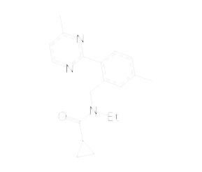 CCN(Cc1cc(C)ccc1-c1nccc(C)n1)C(=O)C1CC1